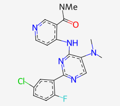 CNC(=O)c1cnccc1Nc1nc(-c2cc(Cl)ccc2F)ncc1N(C)C